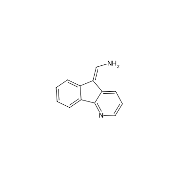 N/C=C1/c2ccccc2-c2ncccc21